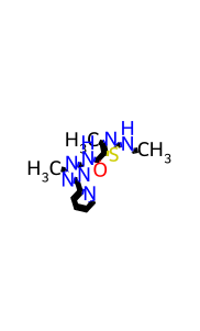 CCNc1nc(C)c(C(=O)Nc2nc(C)nc(-c3ccccn3)n2)s1